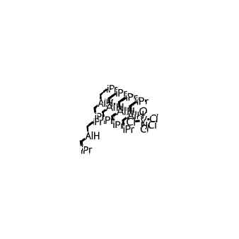 CC(C)[CH2][AlH][CH2]C(C)C.CC(C)[CH2][AlH][CH2]C(C)C.CC(C)[CH2][AlH][CH2]C(C)C.CC(C)[CH2][AlH][CH2]C(C)C.CC(C)[CH2][AlH][CH2]C(C)C.Cl.[O]=[V]([Cl])([Cl])[Cl]